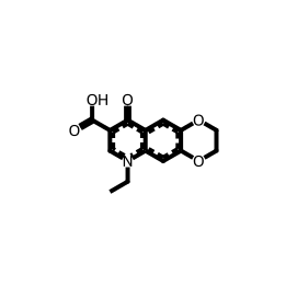 CCn1cc(C(=O)O)c(=O)c2cc3c(cc21)OCCO3